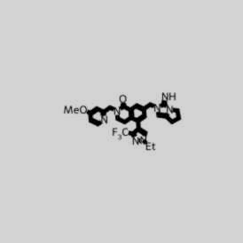 CCn1cc(-c2cc(Cn3cc4n(c3=N)CCC4)cc3c2CCN(Cc2cc(OC)ccn2)C3=O)c(C(F)(F)F)n1